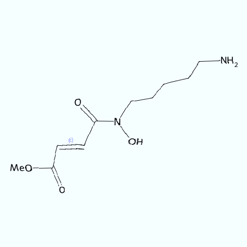 COC(=O)/C=C/C(=O)N(O)CCCCCN